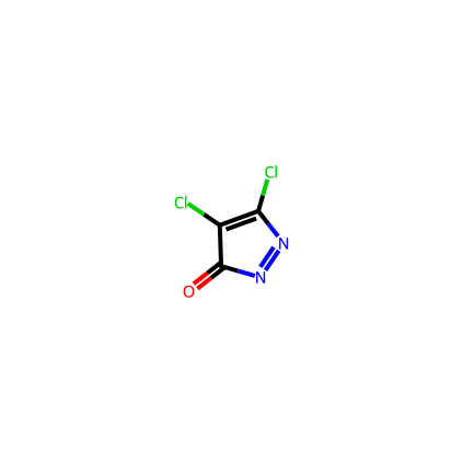 O=C1N=NC(Cl)=C1Cl